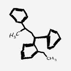 CCc1ccccc1C(CC(C)c1ccccc1)c1ccccc1